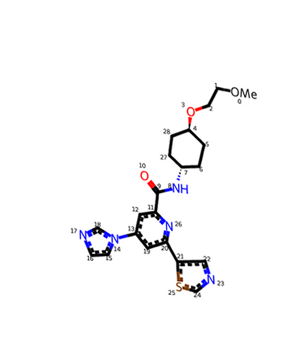 COCCO[C@H]1CC[C@H](NC(=O)c2cc(-n3ccnc3)cc(-c3cncs3)n2)CC1